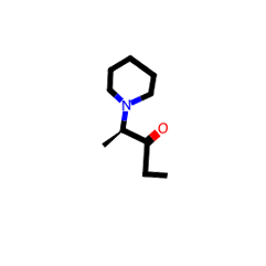 CCC(=O)[C@@H](C)N1CCCCC1